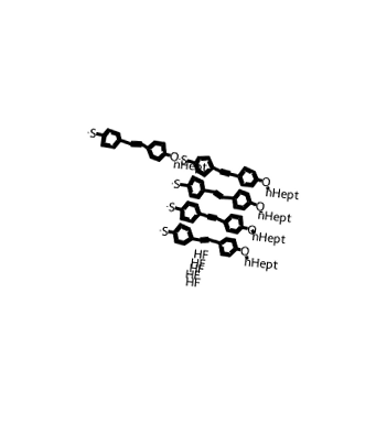 CCCCCCCOc1ccc(C#Cc2ccc([S])cc2)cc1.CCCCCCCOc1ccc(C#Cc2ccc([S])cc2)cc1.CCCCCCCOc1ccc(C#Cc2ccc([S])cc2)cc1.CCCCCCCOc1ccc(C#Cc2ccc([S])cc2)cc1.CCCCCCCOc1ccc(C#Cc2ccc([S])cc2)cc1.F.F.F.F.F